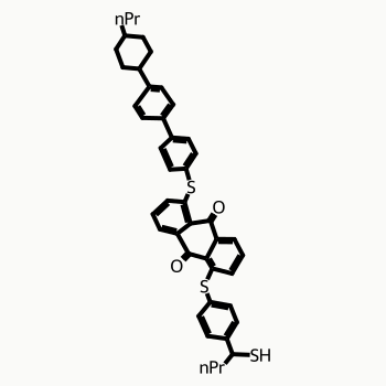 CCCC1CCC(c2ccc(-c3ccc(Sc4cccc5c4C(=O)c4cccc(Sc6ccc(C(S)CCC)cc6)c4C5=O)cc3)cc2)CC1